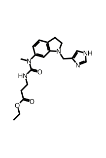 CCOC(=O)CCNC(=O)N(C)c1ccc2c(c1)N(Cc1c[nH]cn1)CC2